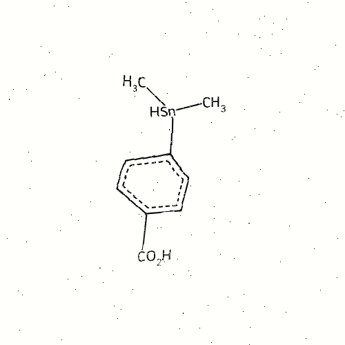 [CH3][SnH]([CH3])[c]1ccc(C(=O)O)cc1